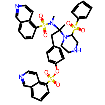 CN(C(C)(Cc1ccc(OS(=O)(=O)c2cccc3cnccc23)cc1)N1CCNCC1S(=O)(=O)c1ccccc1)S(=O)(=O)c1cccc2cnccc12